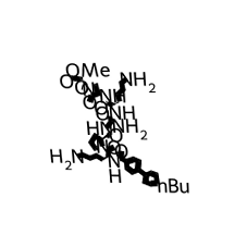 CCCCc1ccc(-c2ccc(C(=O)N[C@@H](CCCCN)C(=O)N3CCC[C@H]3C(=O)N[C@@H](N)C(=O)N[C@@H](CCCCN)C(=O)N[C@@H]3CN(OCC(=O)OC)C3=O)cc2)cc1